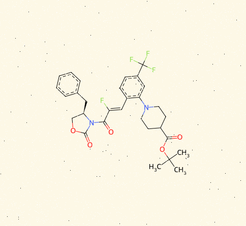 CC(C)(C)OC(=O)C1CCN(c2cc(C(F)(F)F)ccc2/C=C(\F)C(=O)N2C(=O)OC[C@H]2Cc2ccccc2)CC1